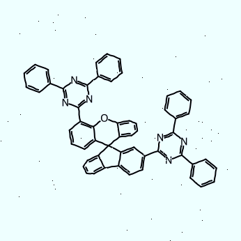 c1ccc(-c2nc(-c3ccccc3)nc(-c3ccc4c(c3)C3(c5ccccc5Oc5c(-c6nc(-c7ccccc7)nc(-c7ccccc7)n6)cccc53)c3ccccc3-4)n2)cc1